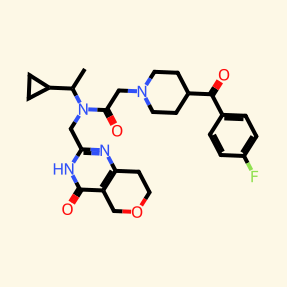 CC(C1CC1)N(Cc1nc2c(c(=O)[nH]1)COCC2)C(=O)CN1CCC(C(=O)c2ccc(F)cc2)CC1